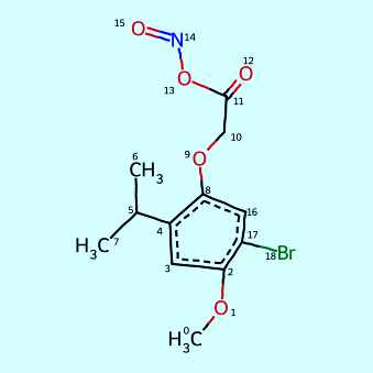 COc1cc(C(C)C)c(OCC(=O)ON=O)cc1Br